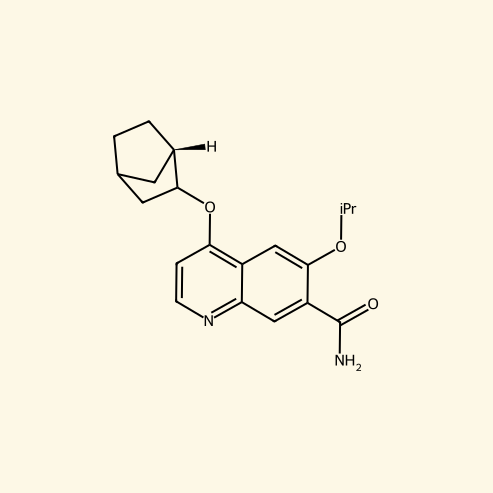 CC(C)Oc1cc2c(OC3CC4CC[C@H]3C4)ccnc2cc1C(N)=O